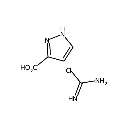 N=C(N)Cl.O=C(O)c1cc[nH]n1